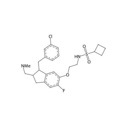 CNCC1Cc2cc(F)c(OCCNS(=O)(=O)C3CCC3)cc2C1Cc1cccc(Cl)c1